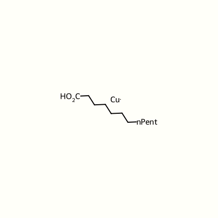 CCCCCCCCCCCC(=O)O.[Cu]